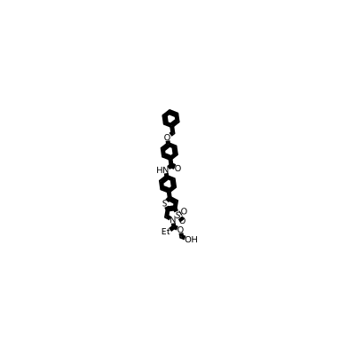 CCC(OCO)N1Cc2sc(-c3ccc(NC(=O)c4ccc(OCc5ccccc5)cc4)cc3)cc2S1(=O)=O